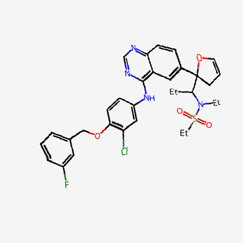 CCC(N(CC)S(=O)(=O)CC)C1(c2ccc3ncnc(Nc4ccc(OCc5cccc(F)c5)c(Cl)c4)c3c2)CC=CO1